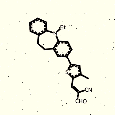 CCN1c2ccccc2CCc2cc(-c3cc(C)c(/C=C(\C#N)C=O)s3)ccc21